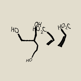 C=CC(=O)O.C=CC(=O)O.OCC(CO)CO